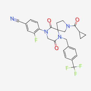 N#Cc1ccc(N2CC(=O)N(Cc3ccc(C(F)(F)F)cc3)C3(CCN(C(=O)C4CC4)C3)C2=O)c(F)c1